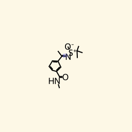 CNC(=O)c1cccc(/C(C)=N/[S+]([O-])C(C)(C)C)c1